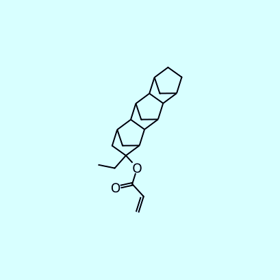 C=CC(=O)OC1(CC)CC2CC1C1C3CC(C4C5CCC(C5)C34)C21